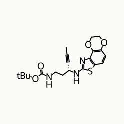 CC#C[C@@H](CCNC(=O)OC(C)(C)C)Nc1nc2c3c(ccc2s1)OCCO3